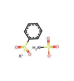 O=[SH](=O)c1ccccc1.O=[S](=O)([O-])[AlH2].[K+]